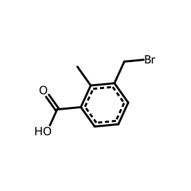 Cc1c(CBr)cccc1C(=O)O